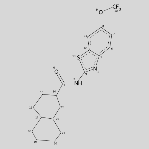 O=C(Nc1nc2ccc(OC(F)(F)F)cc2s1)C1CCC2CCCCC2C1